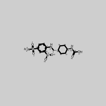 NS(=O)(=O)c1ccc(NC[C@H]2CC[C@H](NC(=O)O)CC2)c([N+](=O)[O-])c1